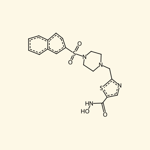 O=C(NO)c1cnc(CN2CCN(S(=O)(=O)c3ccc4ccccc4c3)CC2)s1